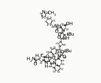 Cc1ncsc1-c1ccc(CNC(=O)[C@@H]2C[C@@H](O)CN2C(=O)[C@@H](NC(=O)C2CC(Cc3ccc(CO[C@H](C)[C@H](CCC(N)=O)NC(=O)[C@@H]4Cc5cccc6c5N4C(=O)[C@@H](NC(=O)OC(C)(C)C)CC6)cc3)C2)C(C)(C)C)cc1